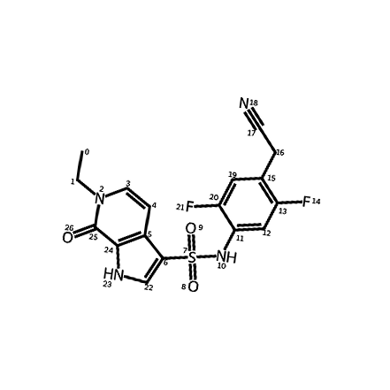 CCn1ccc2c(S(=O)(=O)Nc3cc(F)c(CC#N)cc3F)c[nH]c2c1=O